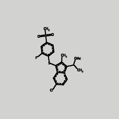 CC(=O)OC(C)c1c(C)c(Sc2ccc(S(C)(=O)=O)cc2F)c2cc(Cl)ccn12